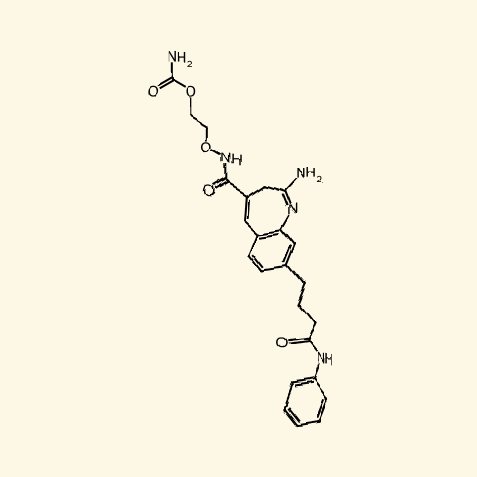 NC(=O)OCCONC(=O)C1=Cc2ccc(CCCC(=O)Nc3ccccc3)cc2N=C(N)C1